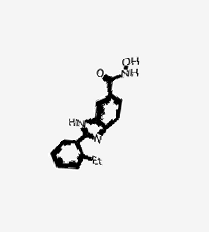 CCc1ccccc1-c1nc2ccc(C(=O)NO)cc2[nH]1